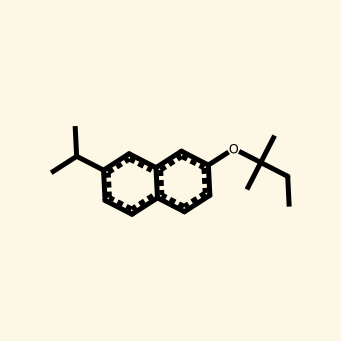 CCC(C)(C)Oc1ccc2ccc(C(C)C)cc2c1